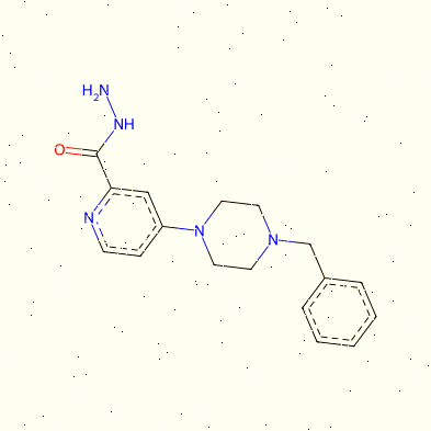 NNC(=O)c1cc(N2CCN(Cc3ccccc3)CC2)ccn1